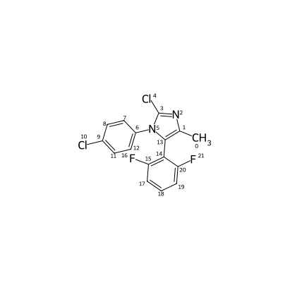 Cc1nc(Cl)n(-c2ccc(Cl)cc2)c1-c1c(F)cccc1F